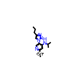 CCCc1cn(-c2cn[c]([Sn]([CH3])([CH3])[CH3])cc2NC(C)C)nn1